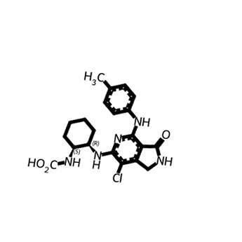 Cc1ccc(Nc2nc(N[C@@H]3CCCC[C@@H]3NC(=O)O)c(Cl)c3c2C(=O)NC3)cc1